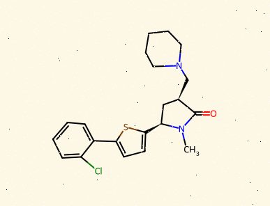 CN1C(=O)[C@H](CN2CCCCC2)C[C@@H]1c1ccc(-c2ccccc2Cl)s1